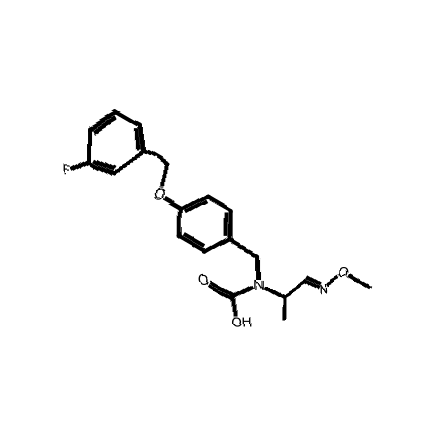 CON=CC(C)N(Cc1ccc(OCc2cccc(F)c2)cc1)C(=O)O